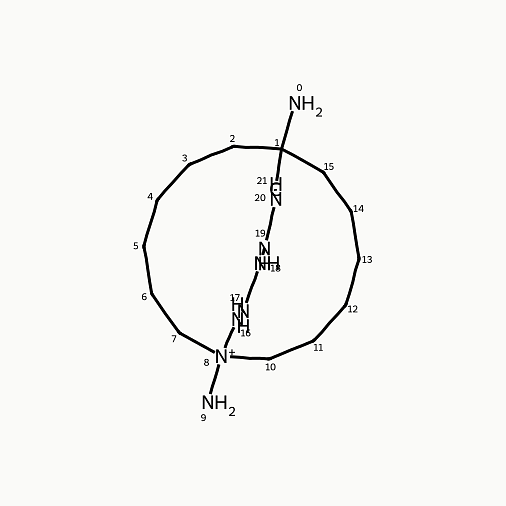 NC12CCCCCC[N+](N)(CCCCCC1)NNNNNC2